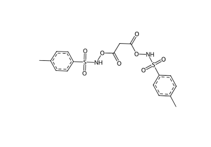 Cc1ccc(S(=O)(=O)NOC(=O)CC(=O)ONS(=O)(=O)c2ccc(C)cc2)cc1